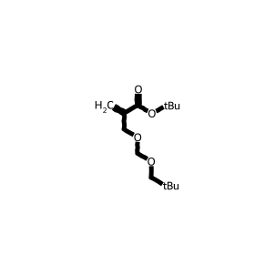 C=C(COCOCC(C)(C)C)C(=O)OC(C)(C)C